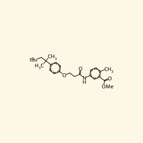 COC(=O)c1cc(NC(=O)CCOc2ccc(C(C)(C)CC(C)(C)C)cc2)ccc1C